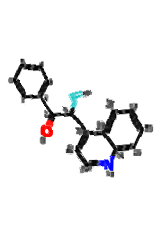 O=C(c1ccccc1)C(F)c1ccnc2ccccc12